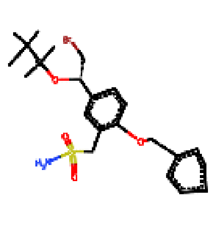 CC(C)(C)[Si](C)(C)O[C@H](CBr)c1ccc(OCc2ccccc2)c(CS(N)(=O)=O)c1